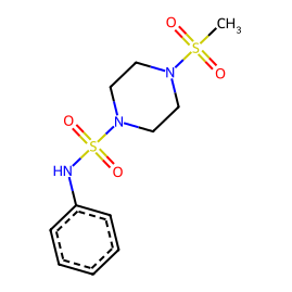 CS(=O)(=O)N1CCN(S(=O)(=O)Nc2ccccc2)CC1